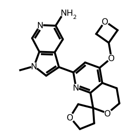 Cn1cc(-c2cc(OC3COC3)c3c(n2)C2(CCOC2)OCC3)c2cc(N)ncc21